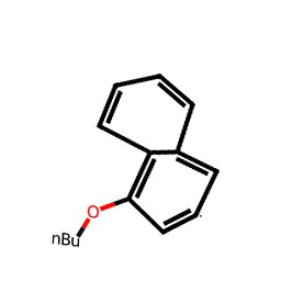 CCCCOc1c[c]cc2ccccc12